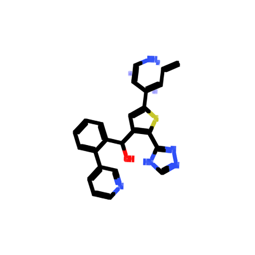 C=C/C=C(\C=C/N)c1cc(C(O)c2ccccc2-c2cccnc2)c(-c2nnc[nH]2)s1